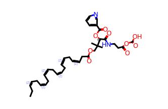 CC/C=C\C/C=C\C/C=C\C/C=C\C/C=C\C/C=C\CC(=O)OCC(C)(C)[C@@H](OC(=O)c1cccnc1)C(=O)NCCC(=O)OC(=O)O